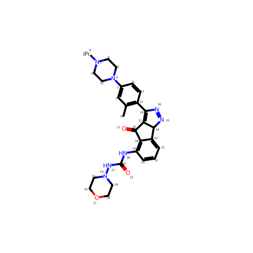 Cc1cc(N2CCN(C(C)C)CC2)ccc1C1=C2C(=O)c3c(NC(=O)NN4CCOCC4)cccc3C2N=N1